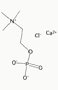 C[N+](C)(C)CCOP(=O)([O-])[O-].[Ca+2].[Cl-]